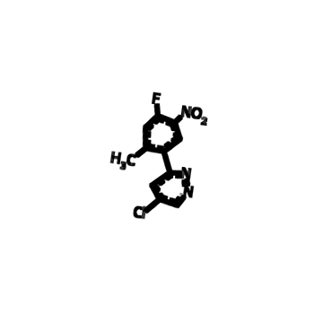 Cc1cc(F)c([N+](=O)[O-])cc1-c1cc(Cl)cnn1